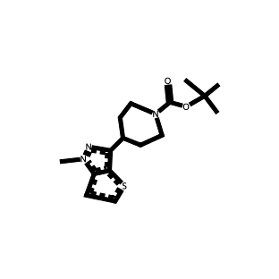 Cn1nc(C2CCN(C(=O)OC(C)(C)C)CC2)c2sccc21